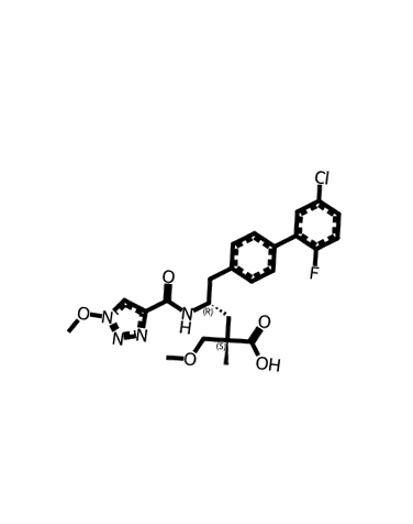 COC[C@](C)(C[C@@H](Cc1ccc(-c2cc(Cl)ccc2F)cc1)NC(=O)c1cn(OC)nn1)C(=O)O